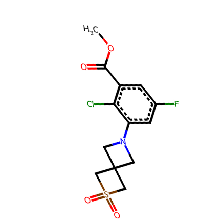 COC(=O)c1cc(F)cc(N2CC3(C2)CS(=O)(=O)C3)c1Cl